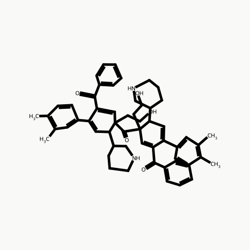 Cc1ccc(C2=CC(C3CCCNC3)C(CCO)(C(=O)C3(CCO)C=C(C(=O)c4ccccc4)C(c4ccc(C)c(C)c4)=CC3C3CCCNC3)C=C2C(=O)c2ccccc2)cc1C